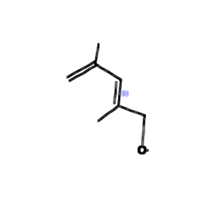 C=C(C)/C=C(\C)C[O]